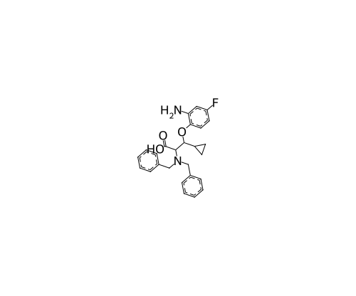 Nc1cc(F)ccc1OC(C1CC1)C(C(=O)O)N(Cc1ccccc1)Cc1ccccc1